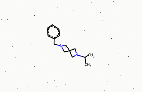 CC(C)N1CC2(CN(Cc3ccccc3)C2)C1